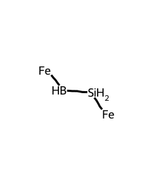 [Fe][BH][SiH2][Fe]